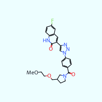 COCCOCC1CCN(C(=O)c2ccc(-n3cc(-c4cc5cc(F)ccc5[nH]c4=O)nn3)cc2)C1